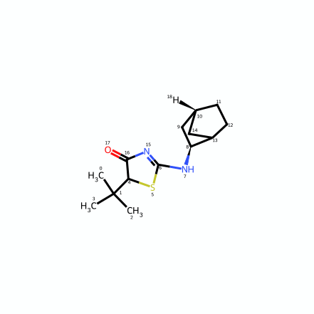 CC(C)(C)C1SC(N[C@H]2C[C@@H]3CCC2C3)=NC1=O